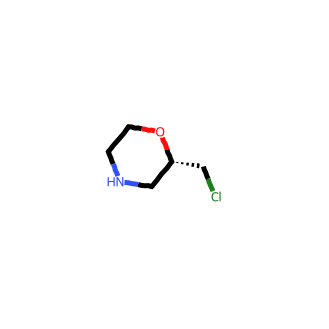 ClC[C@@H]1CNCCO1